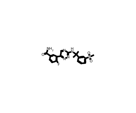 CC(C)(Nc1ncc(-c2cc(C(N)=O)ccc2F)nn1)c1cccc(S(C)(=O)=O)c1